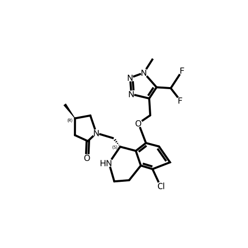 C[C@@H]1CC(=O)N(C[C@H]2NCCc3c(Cl)ccc(OCc4nnn(C)c4C(F)F)c32)C1